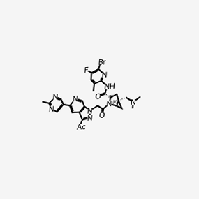 CC(=O)c1nn(CC(=O)N2C3C[C@]3(CN(C)C)C[C@H]2C(=O)Nc2nc(Br)c(F)cc2C)c2cnc(-c3cnc(C)nc3)cc12